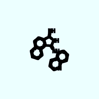 N=C1NC(=N)c2c1ccc1ccccc21.c1ccc2ncccc2c1